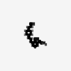 COc1cccc(C=CCN2CCN(CCO)CC2)c1O